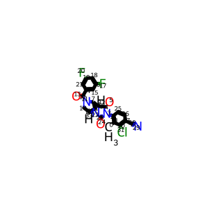 Cc1c(N2C(=O)[C@@H]3C4C[C@H](CN4C(=O)c4cc(F)cc(F)c4)N3C2=O)ccc(C#N)c1Cl